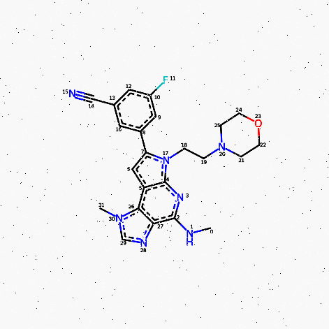 CNc1nc2c(cc(-c3cc(F)cc(C#N)c3)n2CCN2CCOCC2)c2c1ncn2C